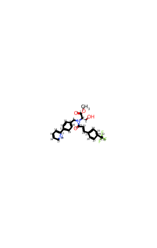 COC(=O)[C@H](CO)N(Cc1ccc(-c2ccccn2)cc1)C(=O)C=Cc1ccc(C(F)(F)F)cc1